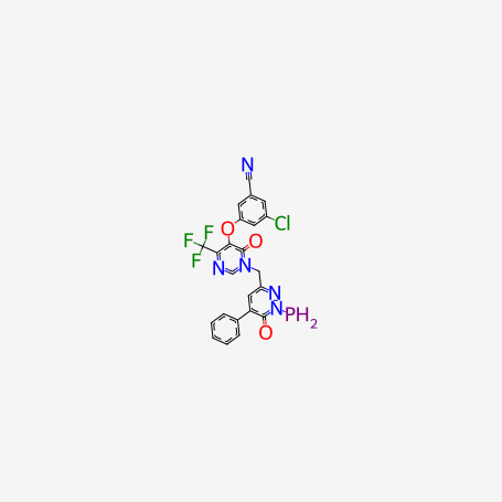 N#Cc1cc(Cl)cc(Oc2c(C(F)(F)F)ncn(Cc3cc(-c4ccccc4)c(=O)n(P)n3)c2=O)c1